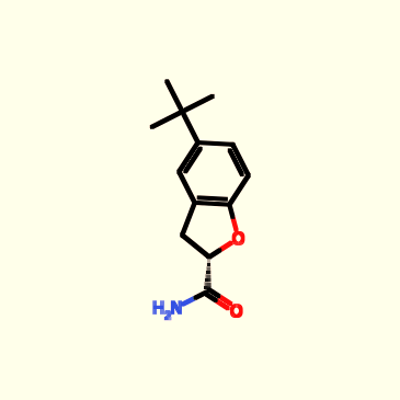 CC(C)(C)c1ccc2c(c1)C[C@@H](C(N)=O)O2